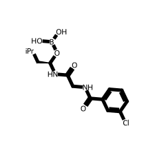 CC(C)C[C@H](NC(=O)CNC(=O)c1cccc(Cl)c1)OB(O)O